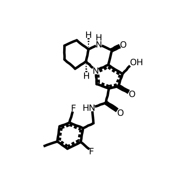 Cc1cc(F)c(CNC(=O)c2cn3c(c(O)c2=O)C(=O)N[C@@H]2CCCC[C@@H]23)c(F)c1